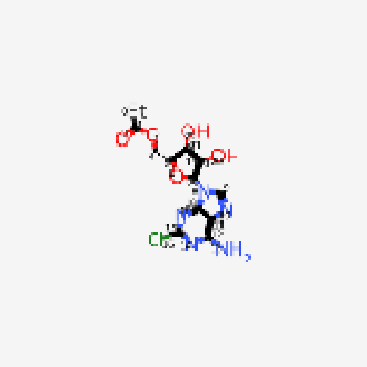 CCC(=O)OC[C@H]1O[C@@H](n2cnc3c(N)nc(Cl)nc32)[C@H](O)[C@@H]1O